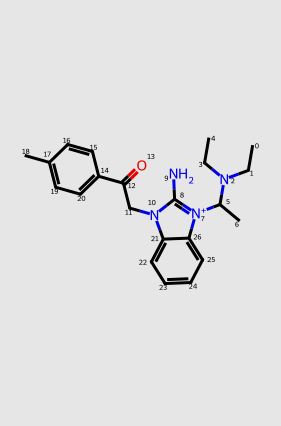 CCN(CC)C(C)[n+]1c(N)n(CC(=O)c2ccc(C)cc2)c2ccccc21